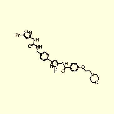 CC(C)c1cc(NC(=O)NCc2ccc(-c3cc(NC(=O)c4ccc(OCCN5CCOCC5)cc4)[nH]n3)cc2)no1